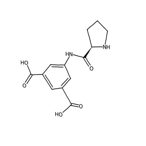 O=C(O)c1cc(NC(=O)[C@H]2CCCN2)cc(C(=O)O)c1